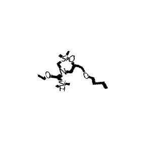 CCCCOCC1CN(C(OCC)[SiH](C)C)C[Si](C)(C)O1